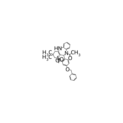 CC(=O)N1c2ccccc2NC2=C(C1c1ccc(OCc3ccccc3)cc1F)S(=O)(=O)CC(C)(C)C2